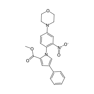 COC(=O)c1cc(-c2ccccc2)cn1-c1ccc(N2CCOCC2)cc1[N+](=O)[O-]